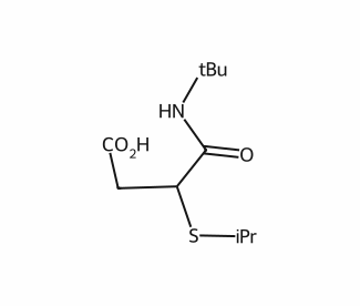 CC(C)SC(CC(=O)O)C(=O)NC(C)(C)C